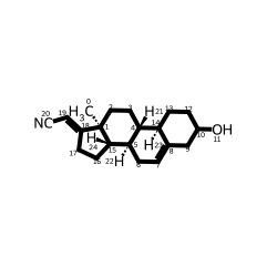 C[C@]12CC[C@H]3[C@@H](CC=C4CC(O)CC[C@@H]43)[C@@H]1CC/C2=C\C#N